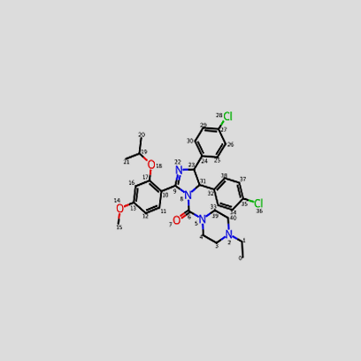 CCN1CCN(C(=O)N2C(c3ccc(OC)cc3OC(C)C)=NC(c3ccc(Cl)cc3)C2c2ccc(Cl)cc2)CC1